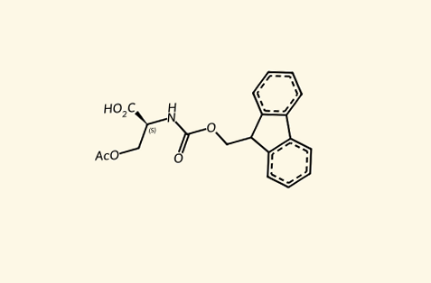 CC(=O)OC[C@H](NC(=O)OCC1c2ccccc2-c2ccccc21)C(=O)O